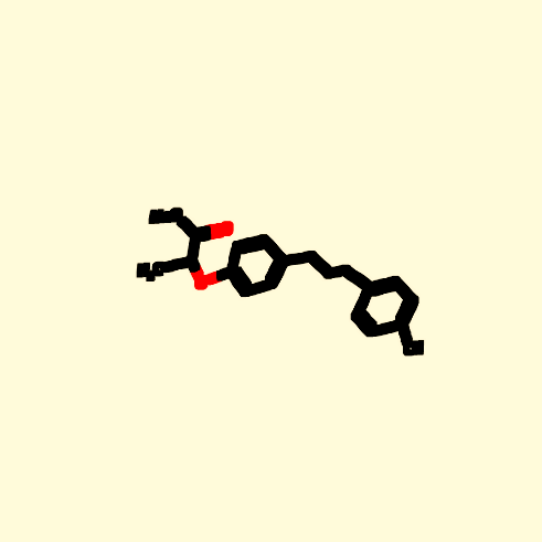 COC(=O)C(C)Oc1ccc(CCCc2ccc(C#N)cc2)cc1